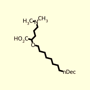 CCCCCCCCCCCCCCCCCCOC(CCCN(C)C)C(=O)O